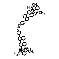 CC(C)c1cccc(C(C)C)c1N1C(=O)c2ccc3c4cccc5c(-c6ccc(OCOc7ccc(-c8ccc9c%10ccc%11c%12c(ccc(c%13cccc8c%139)c%12%10)C(=O)N(c8c(C(C)C)cccc8C(C)C)C%11=O)cc7)cc6)ccc(c6ccc(c2c36)C1=O)c54